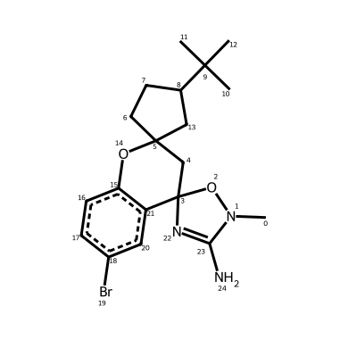 CN1OC2(CC3(CCC(C(C)(C)C)C3)Oc3ccc(Br)cc32)N=C1N